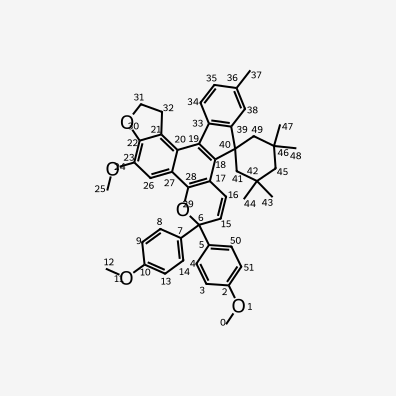 COc1ccc(C2(c3ccc(OC)cc3)C=Cc3c4c(c5c6c(c(OC)cc5c3O2)OCC6)-c2ccc(C)cc2C42CC(C)(C)CC(C)(C)C2)cc1